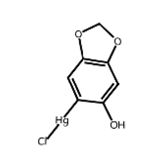 Oc1cc2c(c[c]1[Hg][Cl])OCO2